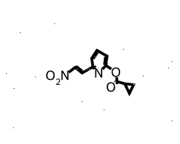 O=C(Oc1cccc(C=C[N+](=O)[O-])n1)C1CC1